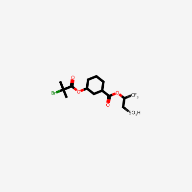 CC(C)(Br)C(=O)OC1CCCC(C(=O)OC(CS(=O)(=O)O)C(F)(F)F)C1